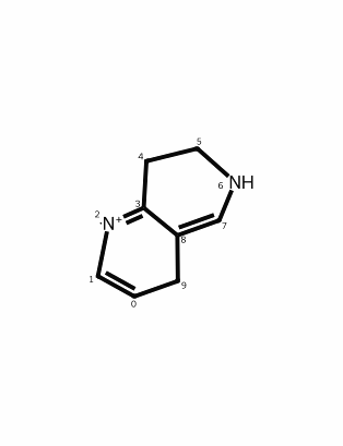 C1=C[N+]=C2CCNC=C2C1